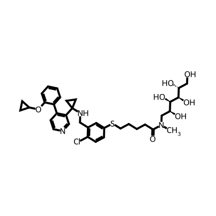 CN(C[C@H](O)[C@@H](O)[C@H](O)[C@H](O)CO)C(=O)CCCCSc1ccc(Cl)c(CNC2(c3cnccc3-c3ccccc3OC3CC3)CC2)c1